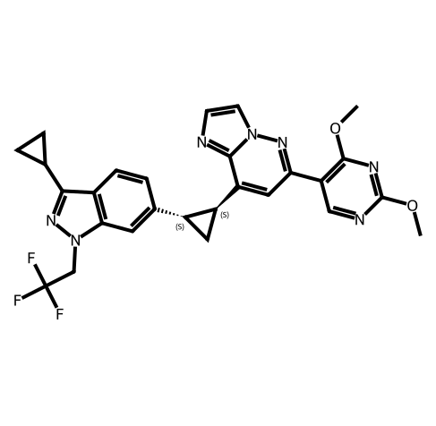 COc1ncc(-c2cc([C@H]3C[C@@H]3c3ccc4c(C5CC5)nn(CC(F)(F)F)c4c3)c3nccn3n2)c(OC)n1